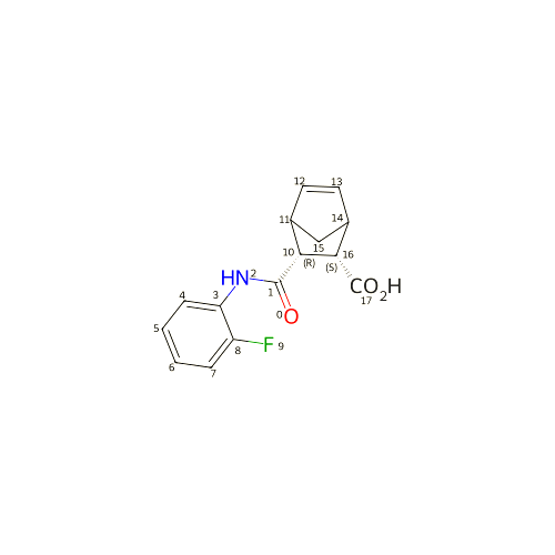 O=C(Nc1ccccc1F)[C@@H]1C2C=CC(C2)[C@@H]1C(=O)O